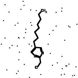 CCCCCCCCc1cnc(CCl)nc1